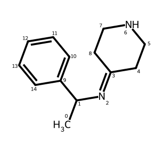 CC(N=C1CCNCC1)c1ccccc1